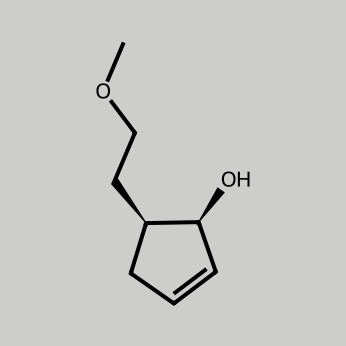 COCC[C@@H]1CC=C[C@@H]1O